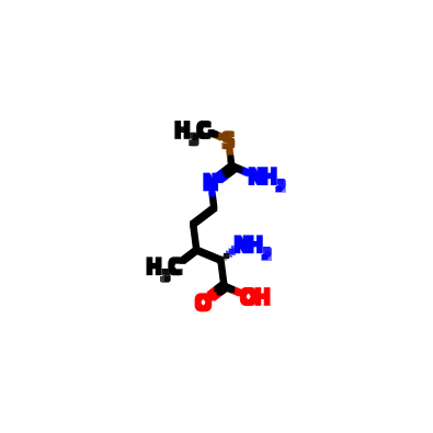 CSC(N)=NCCC(C)[C@H](N)C(=O)O